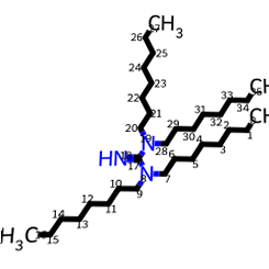 CCCCCCCCN(CCCCCCCC)C(=N)N(CCCCCCCC)CCCCCCCC